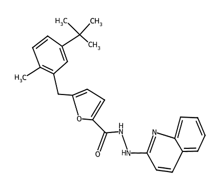 Cc1ccc(C(C)(C)C)cc1Cc1ccc(C(=O)NNc2ccc3ccccc3n2)o1